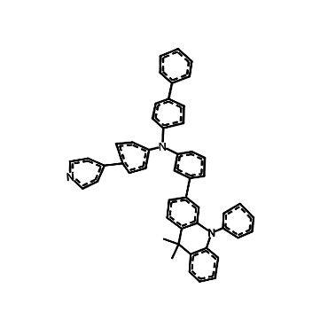 CC1(C)c2ccccc2N(c2ccccc2)c2cc(-c3cccc(N(c4ccc(-c5ccccc5)cc4)c4ccc(-c5ccncc5)cc4)c3)ccc21